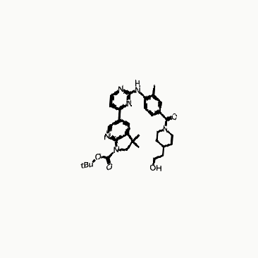 Cc1cc(C(=O)N2CCC(CCO)CC2)ccc1Nc1nccc(-c2cnc3c(c2)C(C)(C)CN3C(=O)OC(C)(C)C)n1